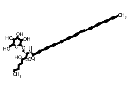 CC#CC#CC#CC#CC#CC#CC#CC#CC#CC#CC#CC(=O)N[C@@H](COC1OC(CO)C(O)C(O)C1O)[C@H](O)[C@H](O)CCCCC